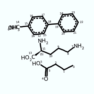 CCCC(=O)O.N.NCCC[C@H](N)C(=O)O.O=Cc1ccc(-c2ccccc2)cc1